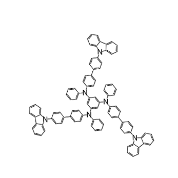 c1ccc(N(c2ccc(-c3ccc(-n4c5ccccc5c5ccccc54)cc3)cc2)c2cc(N(c3ccccc3)c3ccc(-c4ccc(-n5c6ccccc6c6ccccc65)cc4)cc3)cc(N(c3ccccc3)c3ccc(-c4ccc(-n5c6ccccc6c6ccccc65)cc4)cc3)c2)cc1